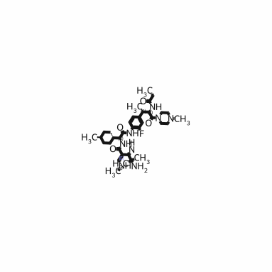 CCC(=O)N[C@@H](C(=O)N1CCN(C)CC1)[C@@H](C)c1ccc(NC(=O)[C@@H](NC(=O)/C(=C/NC)C(=N)C(C)(C)N)[C@H]2CC[C@H](C)CC2)c(F)c1